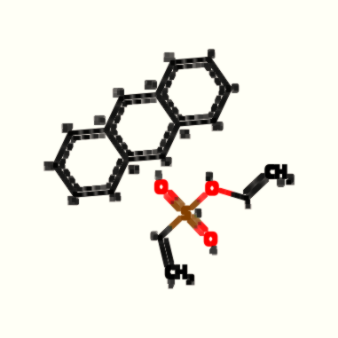 C=COS(=O)(=O)C=C.c1ccc2cc3ccccc3cc2c1